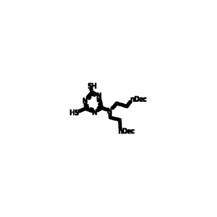 CCCCCCCCCCCCN(CCCCCCCCCCCC)c1nc(S)nc(S)n1